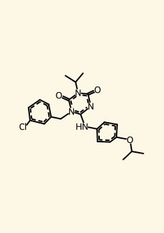 CC(C)Oc1ccc(Nc2nc(=O)n(C(C)C)c(=O)n2Cc2cccc(Cl)c2)cc1